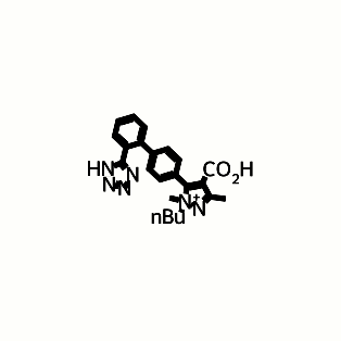 CCCC[N+]1(C)N=C(C)C(C(=O)O)=C1c1ccc(-c2ccccc2-c2nnn[nH]2)cc1